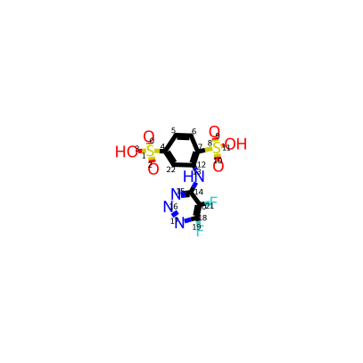 O=S(=O)(O)c1ccc(S(=O)(=O)O)c(Nc2nnnc(F)c2F)c1